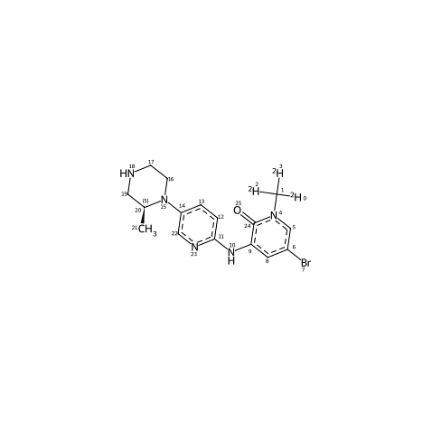 [2H]C([2H])([2H])n1cc(Br)cc(Nc2ccc(N3CCNC[C@@H]3C)cn2)c1=O